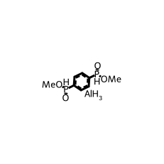 CO[PH](=O)c1ccc([PH](=O)OC)cc1.[AlH3]